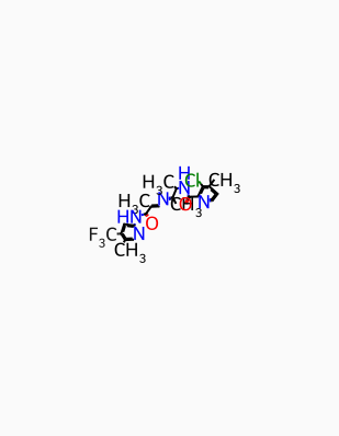 C/C(=C\N=C(/C)C(C)NC(=O)c1nccc(C)c1Cl)C(=O)Nc1cc(C(F)(F)F)c(C)cn1